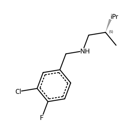 CC(C)[C@H](C)CNCc1ccc(F)c(Cl)c1